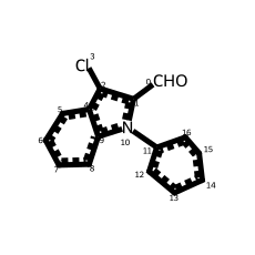 O=Cc1c(Cl)c2ccccc2n1-c1ccccc1